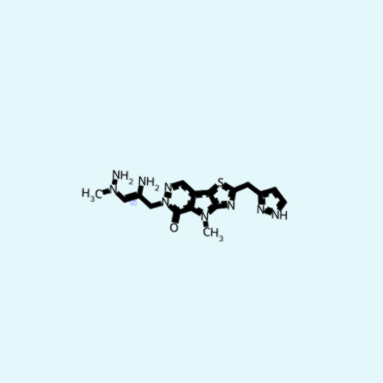 CN(N)/C=C(\N)Cn1ncc2c3sc(Cc4cc[nH]n4)nc3n(C)c2c1=O